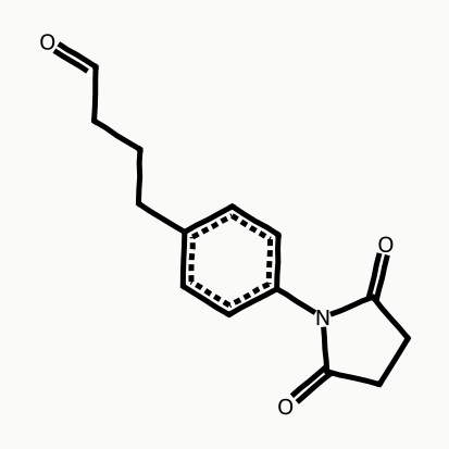 O=CCCCc1ccc(N2C(=O)CCC2=O)cc1